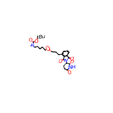 CN(CCCCCOCCCc1cccc2c1C(=O)N(C1CCC(=O)NC1=O)C2=O)C(=O)OC(C)(C)C